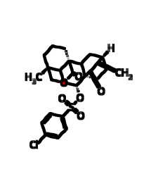 C=C1C(=O)[C@]23CC[C@H]1CC2[C@@]12CCC[C@@](C)(COC1=O)C2C[C@H]3OS(=O)(=O)c1ccc(Cl)cc1